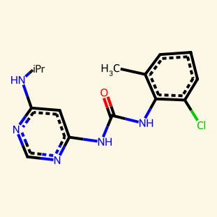 Cc1cccc(Cl)c1NC(=O)Nc1cc(NC(C)C)ncn1